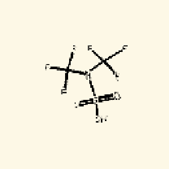 O=S(=O)(O)N(C(F)(F)F)C(F)(F)F